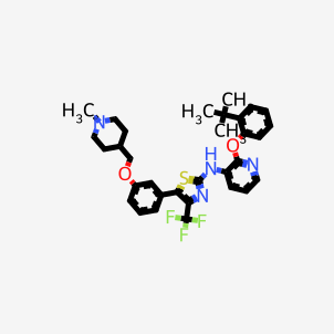 CN1CCC(COc2cccc(-c3sc(Nc4cccnc4Oc4ccccc4C(C)(C)C)nc3C(F)(F)F)c2)CC1